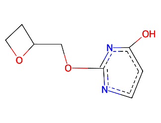 Oc1ccnc(OCC2CCO2)n1